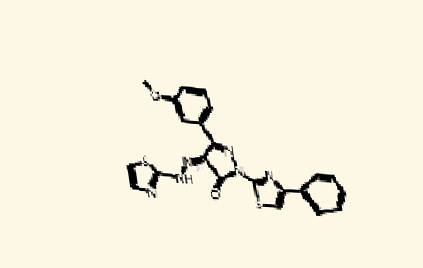 COc1cccc(C2=NN(c3nc(-c4ccccc4)cs3)C(=O)/C2=N\Nc2nccs2)c1